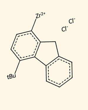 CC(C)(C)c1cc[c]([Zr+2])c2c1-c1ccccc1C2.[Cl-].[Cl-]